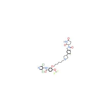 O=C1CCC(N2Cc3cc(C4CCN(CCCCCCCOc5cc(C(=O)Nc6c(Cl)cncc6Cl)ccc5OC(F)F)CC4)c(F)cc3C2=O)C(=O)N1